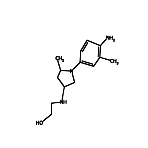 Cc1cc(N2CC(NCCO)CC2C)ccc1N